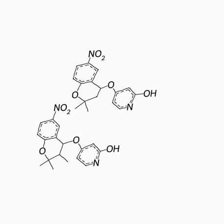 CC1(C)CC(Oc2ccnc(O)c2)c2cc([N+](=O)[O-])ccc2O1.CC1C(Oc2ccnc(O)c2)c2cc([N+](=O)[O-])ccc2OC1(C)C